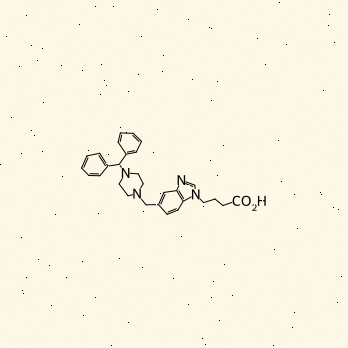 O=C(O)CCCn1cnc2cc(CN3CCN(C(c4ccccc4)c4ccccc4)CC3)ccc21